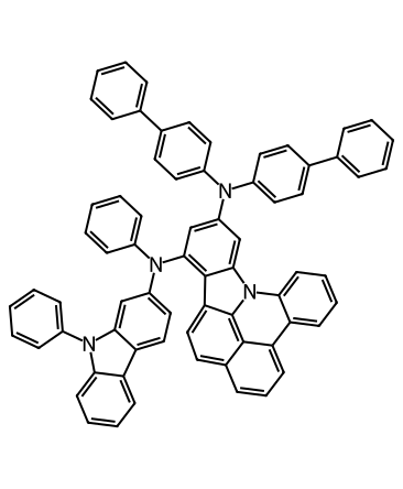 c1ccc(-c2ccc(N(c3ccc(-c4ccccc4)cc3)c3cc(N(c4ccccc4)c4ccc5c6ccccc6n(-c6ccccc6)c5c4)c4c5ccc6cccc7c8ccccc8n(c4c3)c5c67)cc2)cc1